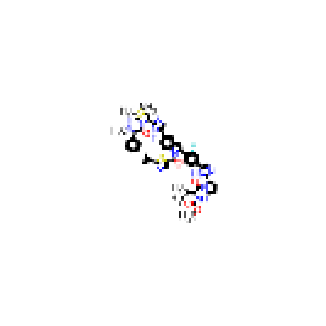 CNC(C(=O)N1CS(C)(C)C[C@H]1c1ncc(-c2ccc3c(c2)cc2n3[C@H](c3cnc(C4CC4)s3)Oc3cc(-c4cnc([C@@H]5CCCN5C(=O)[C@@H](NC(=O)OC)C(C)C)[nH]4)cc(F)c3-2)[nH]1)c1ccccc1